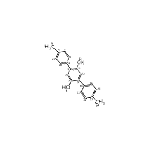 Cc1ccc(-c2cc(O)c(-c3ccc(C)cc3)cc2O)cc1